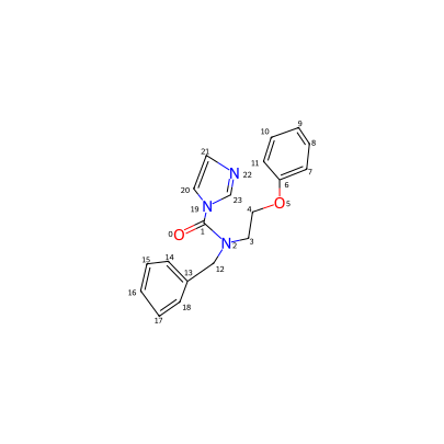 O=C(N(CCOc1ccccc1)Cc1ccccc1)n1ccnc1